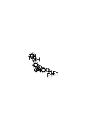 CCN(CC)CCOc1ccc(NS(=O)(=O)c2ccc(CNc3ncccn3)cc2)cc1